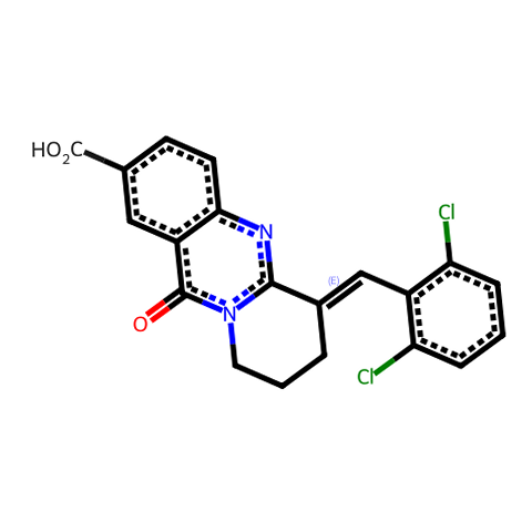 O=C(O)c1ccc2nc3n(c(=O)c2c1)CCC/C3=C\c1c(Cl)cccc1Cl